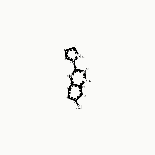 Clc1ccc2nc(-n3cccn3)nnc2c1